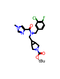 Cn1cnc(C(=O)N(Cc2ccc(F)c(Cl)c2)CC2C3CN(C(=O)OC(C)(C)C)CC32)c1